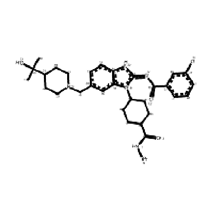 CC(C)NC(=O)C1CCC(n2/c(=N\C(=O)c3cccc(Cl)c3)[nH]c3ccc(CN4CCC(C(C)(C)O)CC4)cc32)CC1